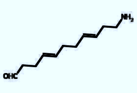 NCCC=CCCC=CCCC=O